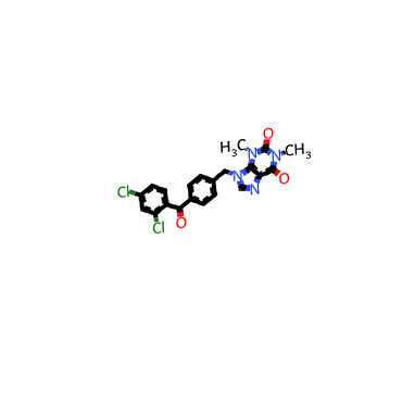 Cn1c(=O)c2ncn(Cc3ccc(C(=O)c4ccc(Cl)cc4Cl)cc3)c2n(C)c1=O